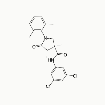 Cc1cccc(C)c1N1C[C@@](C)(C(=O)Nc2cc(Cl)cc(Cl)c2)[C@H](C)C1=O